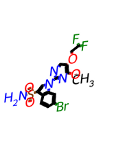 COc1nc(-n2cc(S(N)(=O)=O)c3ccc(Br)cc32)ncc1OCC(F)F